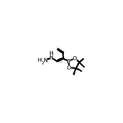 C=C/C(=C\NN)B1OC(C)(C)C(C)(C)O1